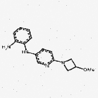 COC1CN(c2ccc(Nc3ccccc3N)cn2)C1